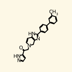 Cc1cccc(-c2ccc(-c3nc4c([nH]3)C=CN(CC(=O)c3ccn[nH]3)C4)cc2)c1